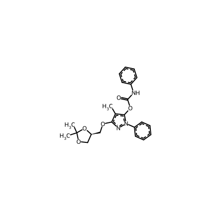 Cc1c(OC[C@H]2COC(C)(C)O2)nn(-c2ccccc2)c1OC(=O)Nc1ccccc1